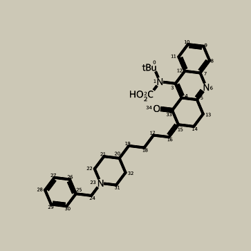 CC(C)(C)N(C(=O)O)c1c2c(nc3ccccc13)CCC(=CCCCC1CCN(Cc3ccccc3)CC1)C2=O